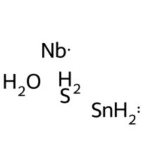 O.S.[Nb].[SnH2]